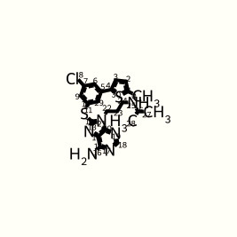 Cc1ccc(-c2cc(Cl)cc(Sc3nc4c(N)ncnc4n3CCCNC(C)C)c2)s1